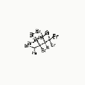 Br[C](Br)C(Br)(C(Br)(Br)Br)C(Br)(C(Br)(Br)Br)C(Br)(Br)Br